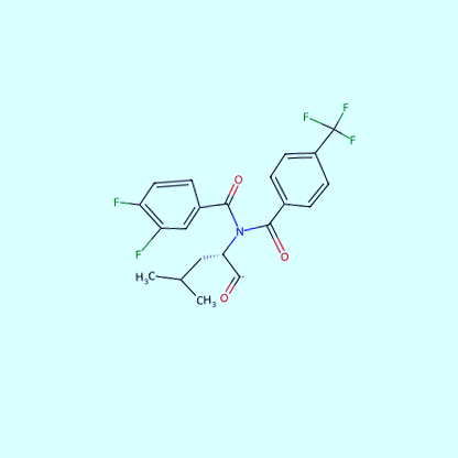 CC(C)C[C@@H]([C]=O)N(C(=O)c1ccc(C(F)(F)F)cc1)C(=O)c1ccc(F)c(F)c1